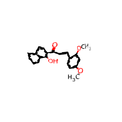 COc1ccc(/C=C/C(=O)c2ccc3ccccc3c2O)c(OC)c1